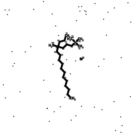 CCCCCCCCCCCCC(N)(CCC)CCC[N+](C)(C)C.[Br-]